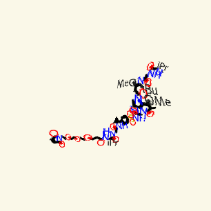 CCC(C)C(C(CC(=O)N1CCCC1C(OC)C(C)C(=O)NCC(=O)NS(=O)(=O)c1ccc(C2(NC(=O)CNC(=O)C(NC(=O)CCOCCOCCOCCN3C(=O)C=CC3=O)C(C)C)CC2)cc1)OC)N(C)C(=O)CNC(=O)C(C(C)C)N(C)C